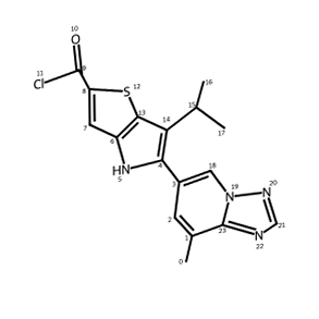 Cc1cc(-c2[nH]c3cc(C(=O)Cl)sc3c2C(C)C)cn2ncnc12